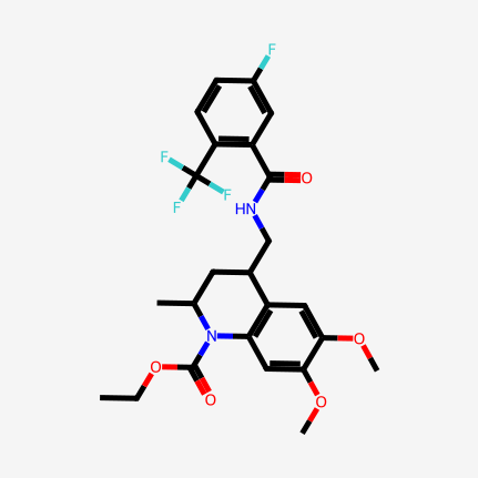 CCOC(=O)N1c2cc(OC)c(OC)cc2C(CNC(=O)c2cc(F)ccc2C(F)(F)F)CC1C